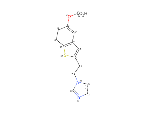 O=C(O)OC1=Cc2cc(CCn3ccnc3)sc2CC1